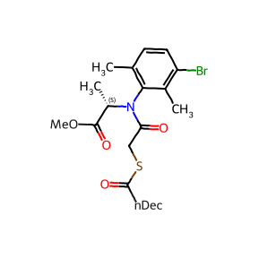 CCCCCCCCCCC(=O)SCC(=O)N(c1c(C)ccc(Br)c1C)[C@@H](C)C(=O)OC